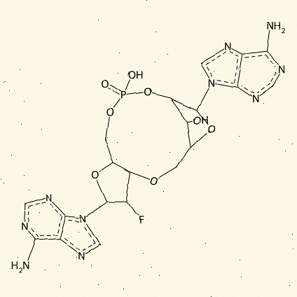 Nc1ncnc2c1ncn2C1OC2COP(=O)(O)OC3C(O)C(COC2C1F)OC3n1cnc2c(N)ncnc21